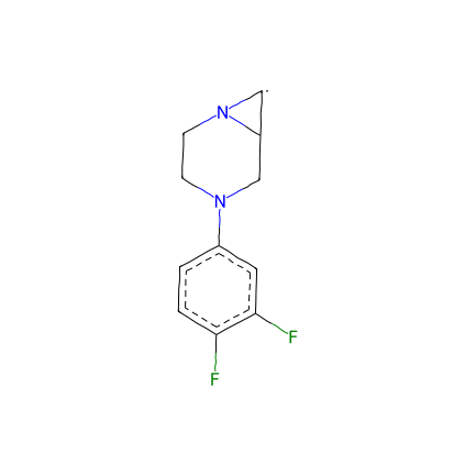 Fc1ccc(N2CCN3[CH]C3C2)cc1F